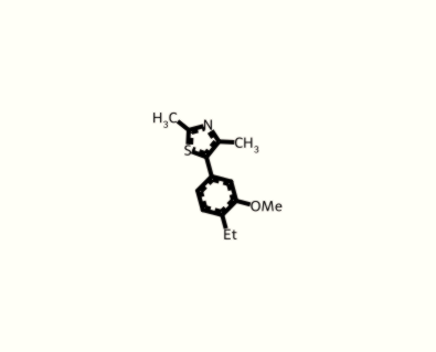 CCc1ccc(-c2sc(C)nc2C)cc1OC